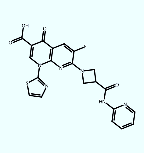 O=C(O)c1cn(-c2nccs2)c2nc(N3CC(C(=O)Nc4ccccn4)C3)c(F)cc2c1=O